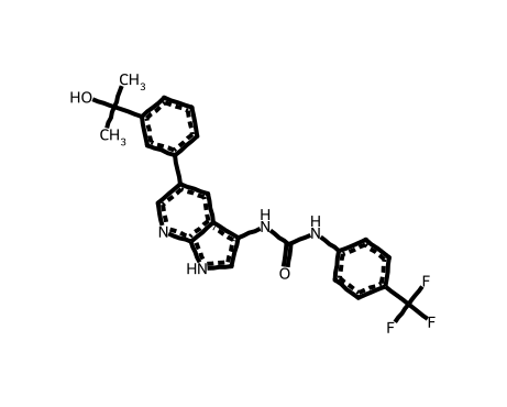 CC(C)(O)c1cccc(-c2cnc3[nH]cc(NC(=O)Nc4ccc(C(F)(F)F)cc4)c3c2)c1